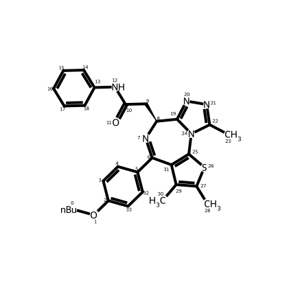 CCCCOc1ccc(C2=N[C@@H](CC(=O)Nc3ccccc3)c3nnc(C)n3-c3sc(C)c(C)c32)cc1